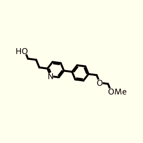 COCOCc1ccc(-c2ccc(CCCO)nc2)cc1